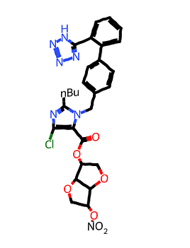 CCCCc1nc(Cl)c(C(=O)OC2COC3C(O[N+](=O)[O-])COC23)n1Cc1ccc(-c2ccccc2-c2nnn[nH]2)cc1